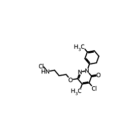 CC1=CCCC(n2nc(OCCCNCl)c(C)c(Cl)c2=O)=C1